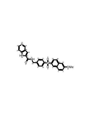 COc1ccc2cc(S(=O)(=O)c3ccc(CNC(=O)c4cc5cnccc5[nH]4)cc3)ccc2c1